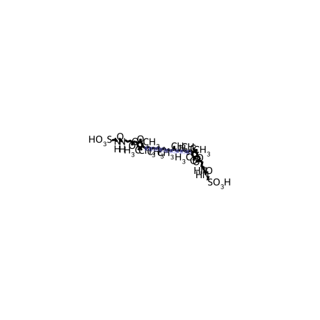 CC1=C(/C=C/C(C)=C/C=C/C(C)=C/C=C/C=C(C)/C=C/C=C(C)/C=C/C2=C(C)C(=O)C(OC(=O)CCCNC(=O)NCCS(=O)(=O)O)CC2(C)C)C(C)(C)CC(OC(=O)CCCNC(=O)NCCS(=O)(=O)O)C1=O